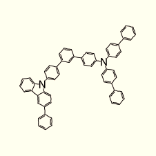 c1ccc(-c2ccc(N(c3ccc(-c4ccccc4)cc3)c3ccc(-c4cccc(-c5ccc(-n6c7ccccc7c7cc(-c8ccccc8)ccc76)cc5)c4)cc3)cc2)cc1